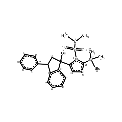 CN(C)S(=O)(=O)n1c(C2(O)CC(c3ccccc3)c3ccccc32)cnc1[Si](C)(C)C(C)(C)C